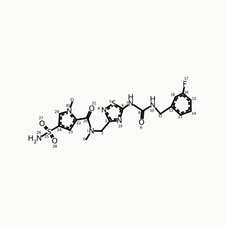 CN(Cc1nsc(NC(=O)NCc2cccc(F)c2)n1)C(=O)c1cc(S(N)(=O)=O)cn1C